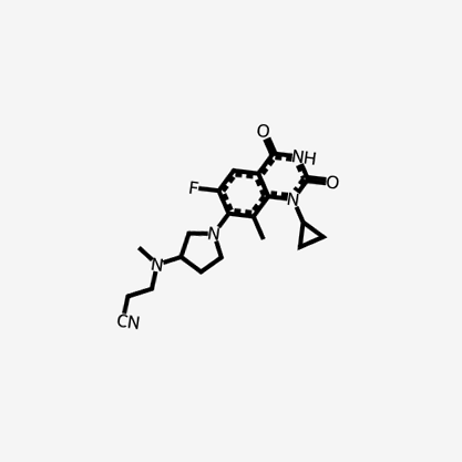 Cc1c(N2CCC(N(C)CCC#N)C2)c(F)cc2c(=O)[nH]c(=O)n(C3CC3)c12